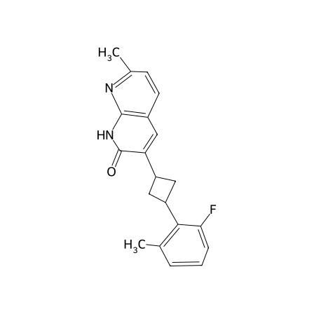 Cc1ccc2cc(C3CC(c4c(C)cccc4F)C3)c(=O)[nH]c2n1